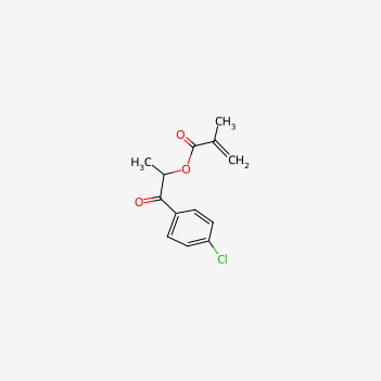 C=C(C)C(=O)OC(C)C(=O)c1ccc(Cl)cc1